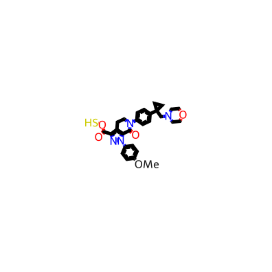 COc1ccc(-n2nc(C(=O)OS)c3c2C(=O)N(c2ccc(C4(CN5CCOCC5)CC4)cc2)CC3)cc1